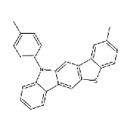 Cc1ccc(-n2c3ccccc3c3cc4sc5ccc(C)cc5c4cc32)cc1